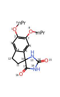 CCCOc1cc2c(cc1OCCC)C1(CC2)NC(=O)NC1=O